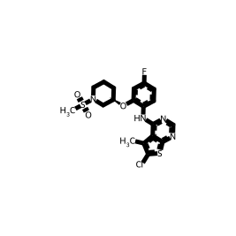 Cc1c(Cl)sc2ncnc(Nc3ccc(F)cc3O[C@@H]3CCCN(S(C)(=O)=O)C3)c12